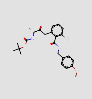 COc1ccc(CNC(=O)c2c(Cl)cccc2CC(=O)[C@H](C)NC(=O)OC(C)(C)C)cc1